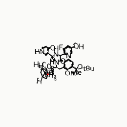 COc1c(C[C@H](NC(=O)C(NC(=O)c2c[nH]ccc2=O)c2ncc(O)cc2F)B2OC3C[C@@H]4C[C@@H](C4(C)C)[C@]3(C)O2)cccc1C(=O)OC(C)(C)C